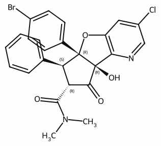 CN(C)C(=O)[C@H]1C(=O)[C@@]2(O)c3ncc(Cl)cc3O[C@@]2(c2ccc(Br)cc2)[C@@H]1c1ccccc1